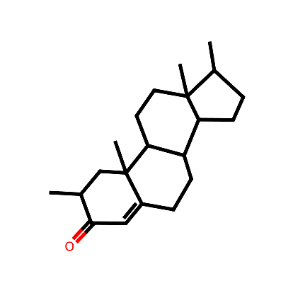 CC1CC2(C)C(=CC1=O)CCC1C2CCC2(C)C(C)CCC12